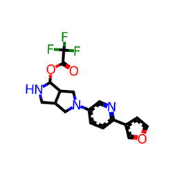 O=C(OC1NCC2CN(c3ccc(-c4ccoc4)nc3)CC21)C(F)(F)F